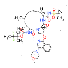 C[C@H]1CC/C=C\[C@@H]2C[C@@]2(C(=O)NS(=O)(=O)C2(C)CC2)NC(=O)[C@@H]2C[C@@H](Oc3ncc(N4CCOCC4)c4ccccc34)CN2C(=O)[C@@H](NC(=O)OC(C)(C)C(C)(F)F)[C@H](C)C1